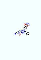 CC(C)(C)N(CCC#N)C(=O)c1nc(Cc2ccccc2)n(-c2ccc(S(N)(=O)=O)cc2)n1